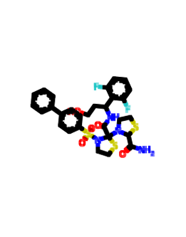 NC(=O)C1SCCN1C1(C(=O)NC(CCO)c2c(F)cccc2F)SCCN1S(=O)(=O)c1ccc(-c2ccccc2)cc1